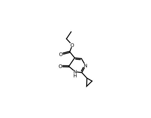 CCOC(=O)c1cnc(C2CC2)[nH]c1=O